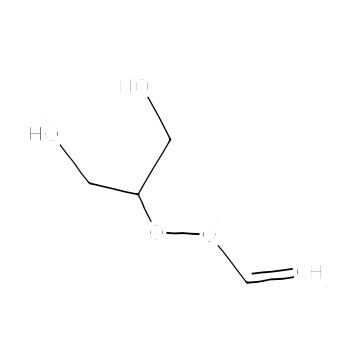 C=COOC(CO)CO